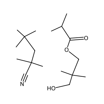 CC(C)(C)CC(C)(C)C#N.CC(C)C(=O)OCC(C)(C)CO